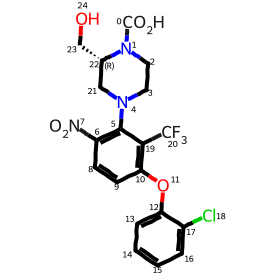 O=C(O)N1CCN(c2c([N+](=O)[O-])ccc(Oc3ccccc3Cl)c2C(F)(F)F)C[C@@H]1CO